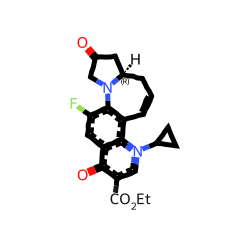 CCOC(=O)c1cn(C2CC2)c2c3c(c(F)cc2c1=O)N1CC(=O)C[C@H]1CC=C3